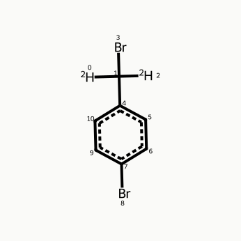 [2H]C([2H])(Br)c1ccc(Br)cc1